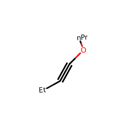 [CH2]CCOC#CCC